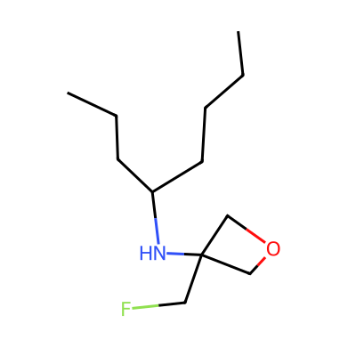 CCCCC(CCC)NC1(CF)COC1